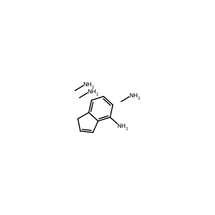 CN.CN.CN.Nc1cccc2c1C=CC2